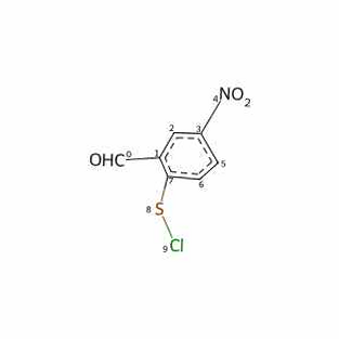 O=Cc1cc([N+](=O)[O-])ccc1SCl